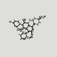 COc1cc(F)ccc1-c1nc2c(cc1C#N)c(N1CCN(C(=O)O)CC1C)nc(=O)n2-c1c(C)ccnc1C(C)C